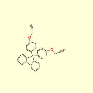 C#CCOC(=C)/C=C\C(=C/C)C1(c2ccc(OCC#C)cc2)c2ccccc2-c2ccccc21